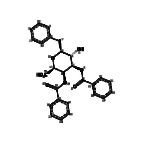 O=C(O[C@@H]1[C@@H](O)[C@H](Sc2ccccc2)O[C@H](C(=O)O)[C@@H]1OC(=O)c1ccccc1)c1ccccc1